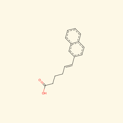 O=C(O)CCCC=Cc1ccc2ccccc2c1